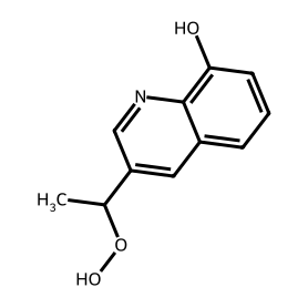 CC(OO)c1cnc2c(O)cccc2c1